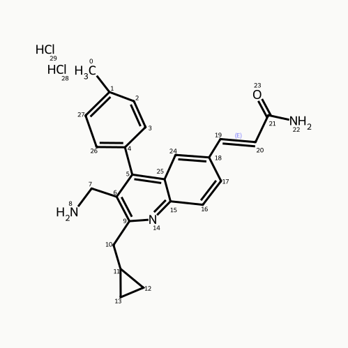 Cc1ccc(-c2c(CN)c(CC3CC3)nc3ccc(/C=C/C(N)=O)cc23)cc1.Cl.Cl